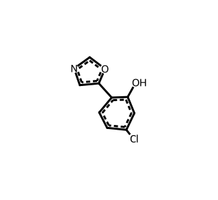 Oc1cc(Cl)ccc1-c1cnco1